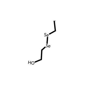 [CH2]C[Se][Se]CCO